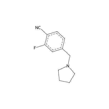 N#Cc1ccc(CN2CCCC2)cc1F